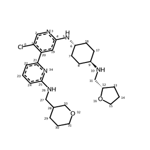 Clc1cnc(N[C@H]2CC[C@H](NC[C@@H]3CCCO3)CC2)cc1-c1cccc(NCC2CCCOC2)n1